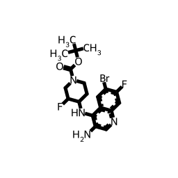 CC(C)(C)OC(=O)N1CCC(Nc2c(N)cnc3cc(F)c(Br)cc23)C(F)C1